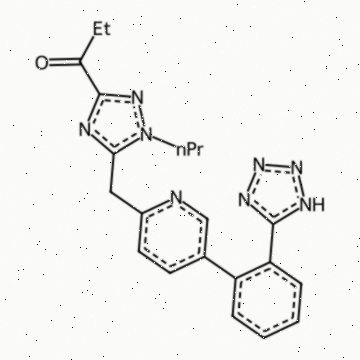 CCCn1nc(C(=O)CC)nc1Cc1ccc(-c2ccccc2-c2nnn[nH]2)cn1